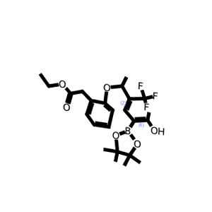 CCOC(=O)Cc1ccccc1OC(C)/C(=C/C(B1OC(C)(C)C(C)(C)O1)=C(\C)O)C(F)(F)F